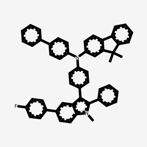 Cn1c(-c2ccccc2)c(-c2ccc(N(c3ccc(-c4ccccc4)cc3)c3ccc4c(c3)C(C)(C)c3ccccc3-4)cc2)c2cc(-c3ccc(F)cc3)ccc21